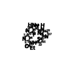 CCC(=O)Nc1cncc(-c2ncc3[nH]nc(-c4nc5c(-c6ccc(C)s6)nccc5[nH]4)c3c2F)c1